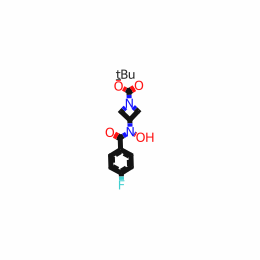 CC(C)(C)OC(=O)N1CC(N(O)C(=O)c2ccc(F)cc2)C1